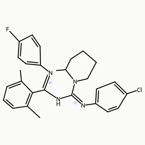 Cc1cccc(C)c1/C(=N\c1ccc(F)cc1)N/C(=N/c1ccc(Cl)cc1)N1CCCCC1C